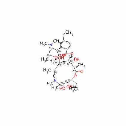 CCc1ccc(C(=O)O)c([C@H]2[C@H](O[C@@H]3[C@@H](C)[C@H](O)[C@@H](C)C(=O)O[C@H](CC)[C@@](C)(O)[C@H](O)[C@@H](C)N(C)C[C@H](C)C[C@@]3(C)O)O[C@H](C)C[C@@H]2N(C)C)c1